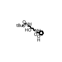 CC(C)(C)OC(=O)NCCC(O)CCNC(=O)c1ccccc1O